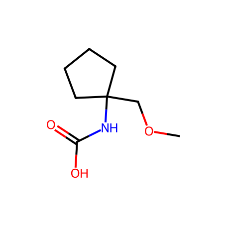 COCC1(NC(=O)O)CCCC1